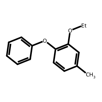 CCOc1cc(C)ccc1Oc1ccccc1